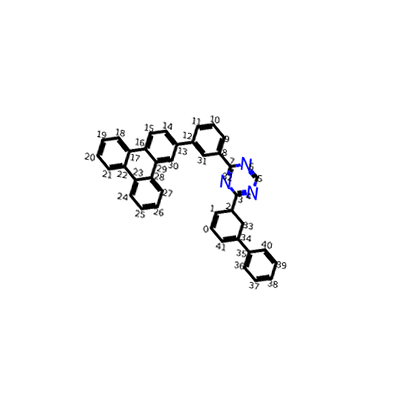 C1=CC(c2ncnc(-c3cccc(-c4ccc5c6ccccc6c6ccccc6c5c4)c3)n2)CC(c2ccccc2)=C1